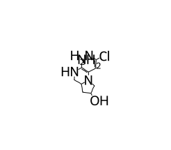 NC1=C(/C=C(\N)Cl)N2CC(O)CC2CN1